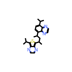 CC(C)c1ccc(C(C)CC(C)c2sc(C(C)C)c3nccnc23)c2nccnc12